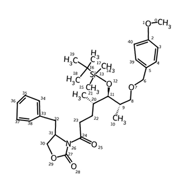 COc1ccc(COC[C@H](C)[C@H](O[Si](C)(C)C(C)(C)C)[C@@H](C)CCC(=O)N2C(=O)OCC2Cc2ccccc2)cc1